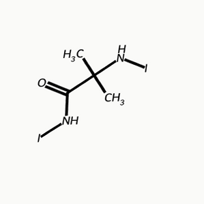 CC(C)(NI)C(=O)NI